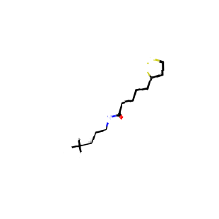 CC(C)(C)CCCNC(=O)CCCCC1CCSS1